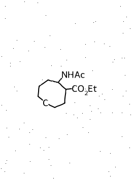 CCOC(=O)C1CCCCCCC1NC(C)=O